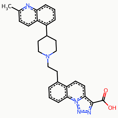 Cc1ccc2c(C3CCN(CCc4cccc5c4ccc4c(C(=O)O)nnn45)CC3)cccc2n1